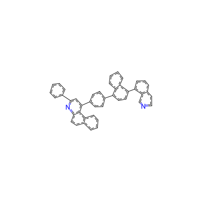 c1ccc(-c2cc(-c3ccc(-c4ccc(-c5cccc6ccncc56)c5ccccc45)cc3)c3c(ccc4ccccc43)n2)cc1